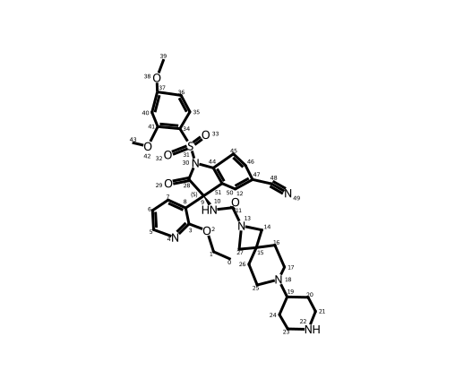 CCOc1ncccc1[C@]1(NC(=O)N2CC3(CCN(C4CCNCC4)CC3)C2)C(=O)N(S(=O)(=O)c2ccc(OC)cc2OC)c2ccc(C#N)cc21